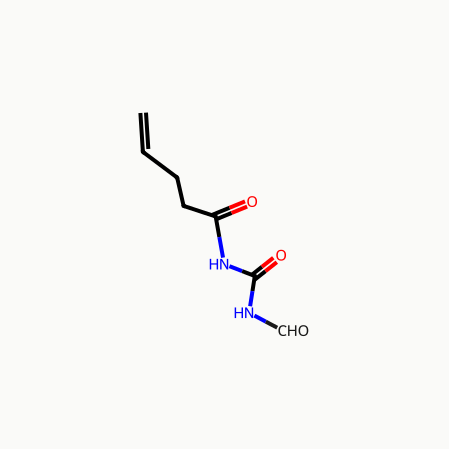 C=CCCC(=O)NC(=O)NC=O